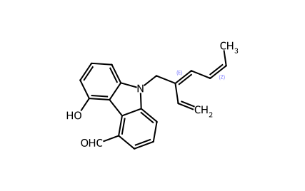 C=C/C(=C\C=C/C)Cn1c2cccc(O)c2c2c(C=O)cccc21